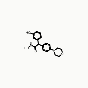 O=C(NO)C(c1ccc(N2CCOCC2)cc1)c1cccc(O)c1